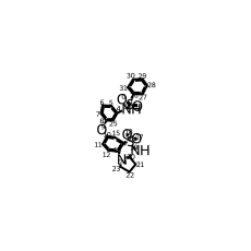 O=S(=O)(Nc1cccc(Oc2ccc3c(c2)S(=O)(=O)NC2CCCN32)c1)c1ccccc1